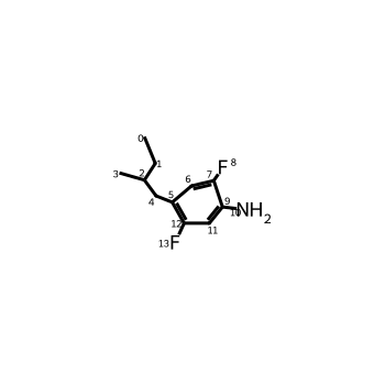 CCC(C)Cc1cc(F)c(N)cc1F